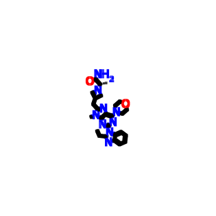 CCc1nc2ccccc2n1-c1nc(N2CCOCC2)c2nc(CC3CN([C@@H](C)C(N)=O)C3)n(C)c2n1